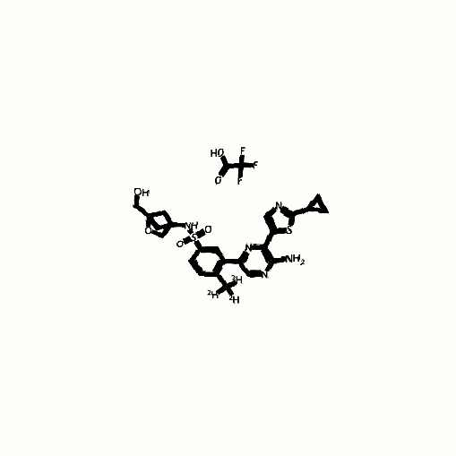 O=C(O)C(F)(F)F.[2H]C([2H])([2H])c1ccc(S(=O)(=O)NC23COC(CO)(C2)C3)cc1-c1cnc(N)c(-c2cnc(C3CC3)s2)n1